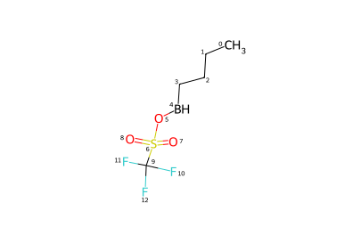 CCCCBOS(=O)(=O)C(F)(F)F